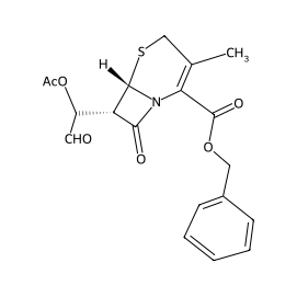 CC(=O)OC(C=O)[C@H]1C(=O)N2C(C(=O)OCc3ccccc3)=C(C)CS[C@@H]12